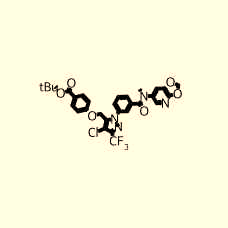 CN(C(=O)c1cccc(-n2nc(C(F)(F)F)c(Cl)c2COc2ccc(C(=O)OC(C)(C)C)cc2)c1)c1cnc2c(c1)OCO2